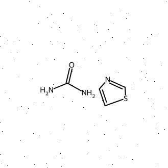 NC(N)=O.c1cscn1